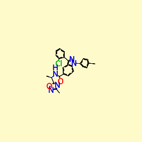 Cc1ccc(-n2nc(-c3ccccc3Cl)c3cc(C(=O)N[C@H](C)c4nc(C)no4)ccc32)cc1